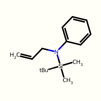 C=CCN(c1ccccc1)[Si](C)(C)C(C)(C)C